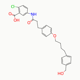 O=C(CCc1ccc(OCCCCc2ccc(CO)cc2)cc1)Nc1ccc(Cl)c(C(=O)O)c1